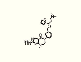 CCNc1ncc2c(n1)N(C)CCN(c1cccc(COC(CCN(C)C)c3cccs3)c1)C2=O